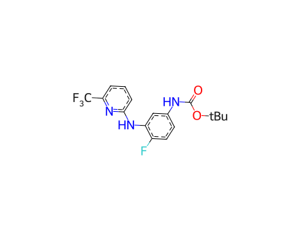 CC(C)(C)OC(=O)Nc1ccc(F)c(Nc2cccc(C(F)(F)F)n2)c1